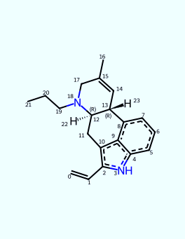 C=Cc1[nH]c2cccc3c2c1C[C@@H]1[C@@H]3C=C(C)CN1CCC